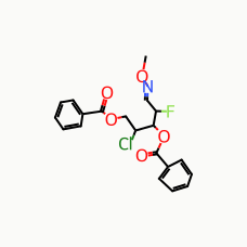 CON=CC(F)C(OC(=O)c1ccccc1)C(Cl)COC(=O)c1ccccc1